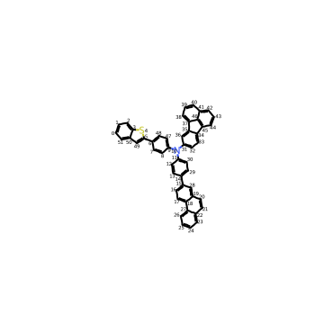 c1ccc2sc(-c3ccc(N(c4ccc(-c5ccc6c(ccc7ccccc76)c5)cc4)c4ccc5c(c4)-c4cccc6cccc-5c46)cc3)cc2c1